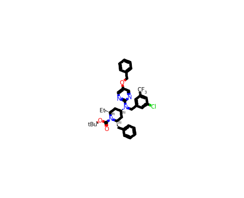 CC[C@@H]1C[C@H](N(Cc2cc(Cl)cc(C(F)(F)F)c2)c2ncc(OCc3ccccc3)cn2)C[C@H](Cc2ccccc2)N1C(=O)OC(C)(C)C